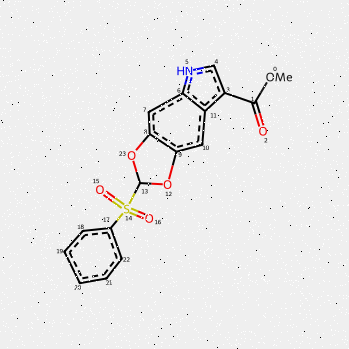 COC(=O)c1c[nH]c2cc3c(cc12)OC(S(=O)(=O)c1ccccc1)O3